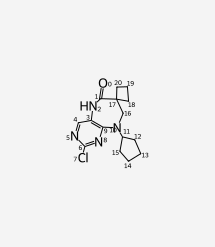 O=C1Nc2cnc(Cl)nc2N(C2CCCC2)CC12CCC2